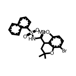 COc1ccc(Br)c2c1C(C(=O)NS(=O)(=O)c1cccc3ccccc13)CC(C)(C)O2